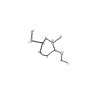 CCOC1CCC(SC)CN1C